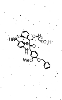 CC(=O)O.COc1cc([C@@H](Nc2ccc(C(=N)N)cc2)C(=O)N[C@H](CO)c2ccccc2)ccc1OCc1ccccc1